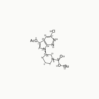 CC(=O)Oc1cn([C@@H]2CCCN(C(=O)OC(C)(C)C)C2)c2nnc(Cl)cc12